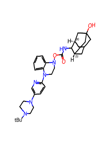 CC(C)(C)N1CCN(c2ccc(N3CCN(OC(=O)NC4[C@@H]5CC6C[C@H]4CC(O)(C6)C5)c4ccccc43)nc2)CC1